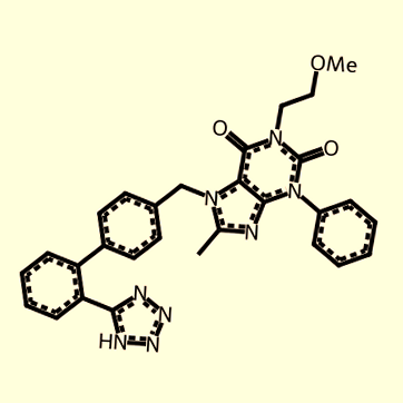 COCCn1c(=O)c2c(nc(C)n2Cc2ccc(-c3ccccc3-c3nnn[nH]3)cc2)n(-c2ccccc2)c1=O